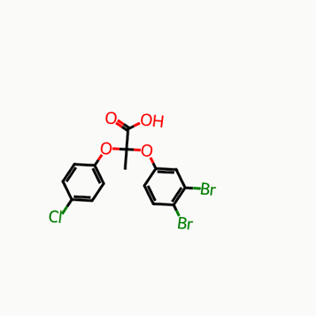 CC(Oc1ccc(Cl)cc1)(Oc1ccc(Br)c(Br)c1)C(=O)O